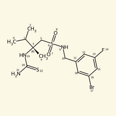 CC(C)[C@](C)(CS(=O)(=O)NCc1cc(F)cc(Br)c1)NC(N)=S